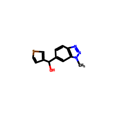 Cn1nnc2ccc(C(O)c3ccsc3)cc21